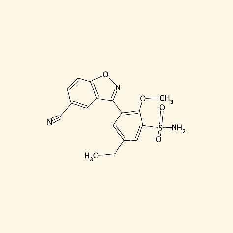 CCc1cc(-c2noc3ccc(C#N)cc23)c(OC)c(S(N)(=O)=O)c1